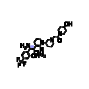 C/C(C1=C(N)N(C2CCCN(CC(=O)N3CCC(O)CC3)C2)CCC1)=C(/N)c1ccc(C(F)(F)F)cc1O